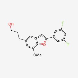 COc1cc(CCCO)cc2cc(-c3cc(F)cc(F)c3)oc12